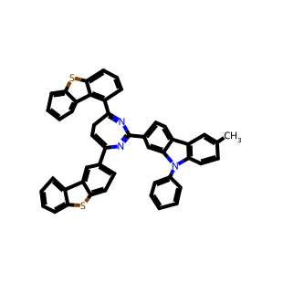 Cc1ccc2c(c1)c1ccc(C3=NC(c4ccc5sc6ccccc6c5c4)=CCC(c4cccc5sc6ccccc6c45)=N3)cc1n2-c1ccccc1